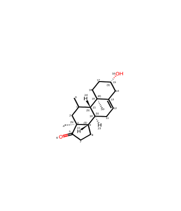 CC1C[C@]2(C)C(=O)CC[C@H]2[C@@H]2CC=C3C[C@@H](O)CC[C@]3(C)[C@@H]12